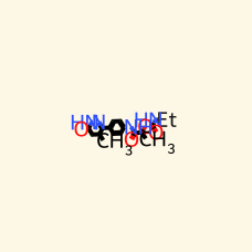 CCNC(=O)OC(C)C(=O)Nc1ccc(C2=NNC(=O)CC2C)cc1